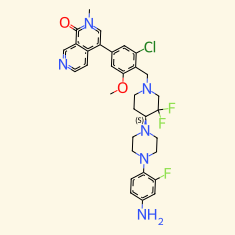 COc1cc(-c2cn(C)c(=O)c3cnccc23)cc(Cl)c1CN1CC[C@H](N2CCN(c3ccc(N)cc3F)CC2)C(F)(F)C1